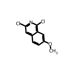 COc1ccc2cc(Cl)nc(Cl)c2c1